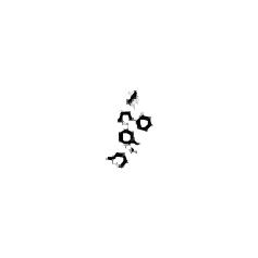 Cc1cc(-n2ncc3cc(N4C(=O)C[C@H](NC(=O)C(C)(F)F)[C@H]4c4ccccc4)ccc32)ccn1